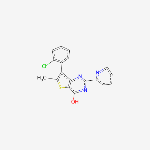 Cc1sc2c(O)nc(-c3ccccn3)nc2c1-c1ccccc1Cl